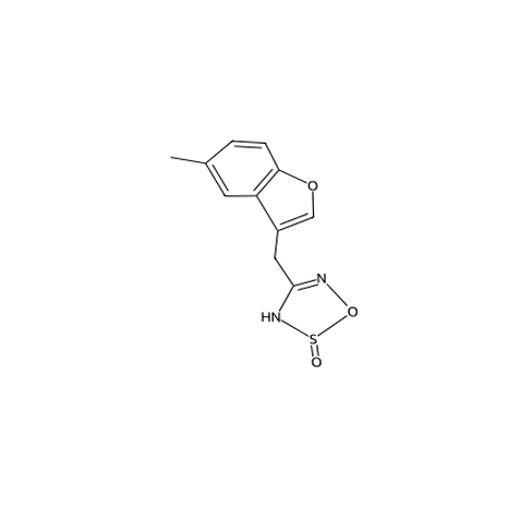 Cc1ccc2occ(CC3=NOS(=O)N3)c2c1